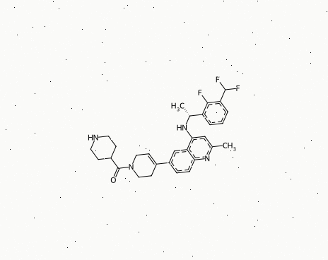 Cc1cc(N[C@H](C)c2cccc(C(F)F)c2F)c2cc(C3=CCN(C(=O)C4CCNCC4)CC3)ccc2n1